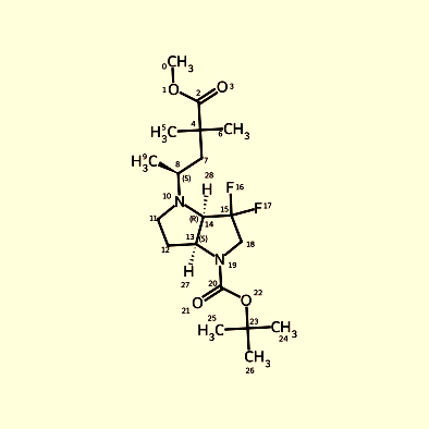 COC(=O)C(C)(C)C[C@H](C)N1CC[C@H]2[C@@H]1C(F)(F)CN2C(=O)OC(C)(C)C